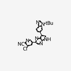 CC(C)(C)n1cnc2ccc(-c3c[nH]c4ncc(-c5cnc(C#N)c(Cl)c5)nc34)cc21